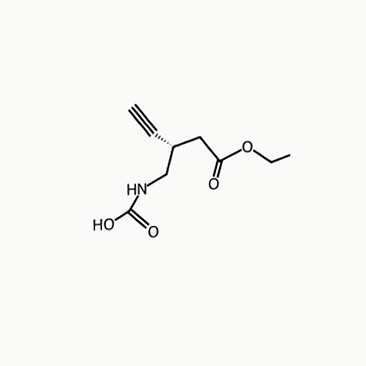 C#C[C@@H](CNC(=O)O)CC(=O)OCC